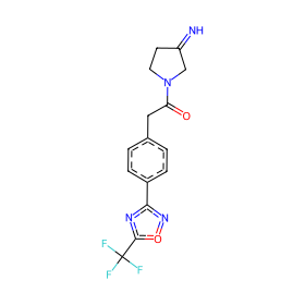 N=C1CCN(C(=O)Cc2ccc(-c3noc(C(F)(F)F)n3)cc2)C1